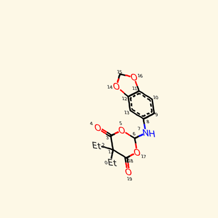 CCC1(CC)C(=O)OC(Nc2ccc3c(c2)OCO3)OC1=O